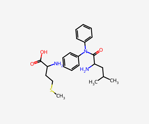 CC(C)CC(N)C(=O)N(c1ccccc1)c1ccccc1.CSCCC(N)C(=O)O